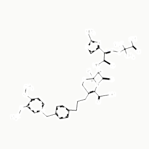 COc1cc[n+](Cc2ccc(CCCC3=C(C(=O)O)N4C(=O)[C@@H](NC(=O)/C(=N\OC(C)(C)C(=O)O)c5csc(N)n5)[C@H]4SC3)cc2)cc1OC